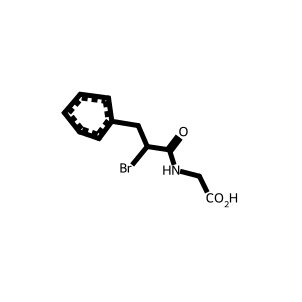 O=C(O)CNC(=O)C(Br)Cc1ccccc1